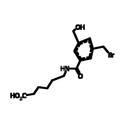 O=C(O)CCCCCNC(=O)c1cc(CO)cc(CBr)c1